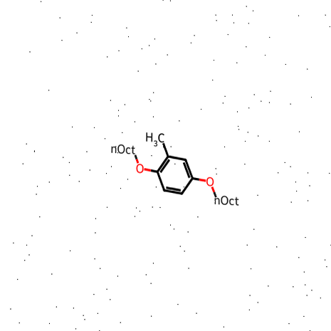 CCCCCCCCOc1ccc(OCCCCCCCC)c(C)c1